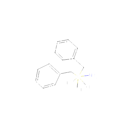 CS(C)(C)(N)(Cc1ccccc1)Cc1ccccc1